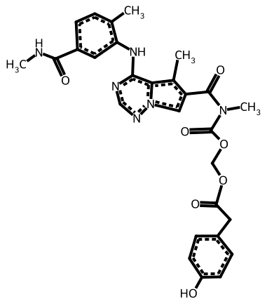 CNC(=O)c1ccc(C)c(Nc2ncnn3cc(C(=O)N(C)C(=O)OCOC(=O)Cc4ccc(O)cc4)c(C)c23)c1